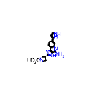 Nc1nc2cc(-c3cc[nH]n3)ccc2c2nc([C@@H]3CCN(C(=O)O)C3)[nH]c12